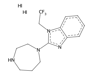 FC(F)(F)Cn1c(N2CCCNCC2)nc2ccccc21.I.I